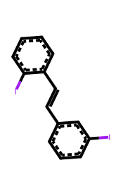 Ic1cccc(C=Cc2ccccc2I)c1